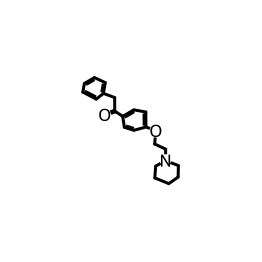 O=C(Cc1ccccc1)c1ccc(OCCN2CCCCC2)cc1